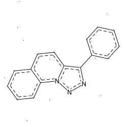 c1ccc(-c2nnn3c2ccc2ccccc23)cc1